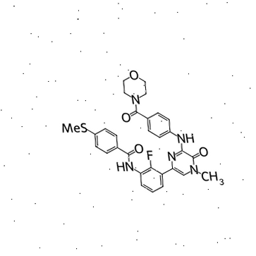 CSc1ccc(C(=O)Nc2cccc(-c3cn(C)c(=O)c(Nc4ccc(C(=O)N5CCOCC5)cc4)n3)c2F)cc1